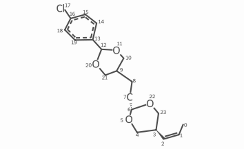 C/C=C\[C@H]1CO[C@H](CCC2COC(c3ccc(Cl)cc3)OC2)OC1